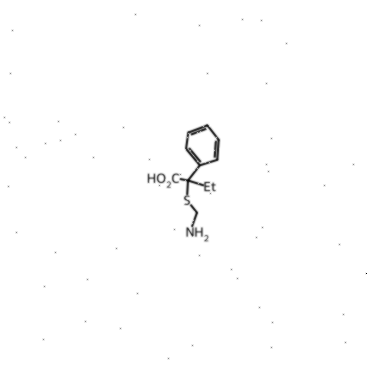 CCC(SCN)(C(=O)O)c1ccccc1